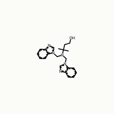 CC(C)(CCO)N(Cn1cnc2ccccc21)Cn1cnc2ccccc21